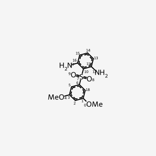 COc1cc(OC)cc(S(=O)(=O)c2c(N)cccc2N)c1